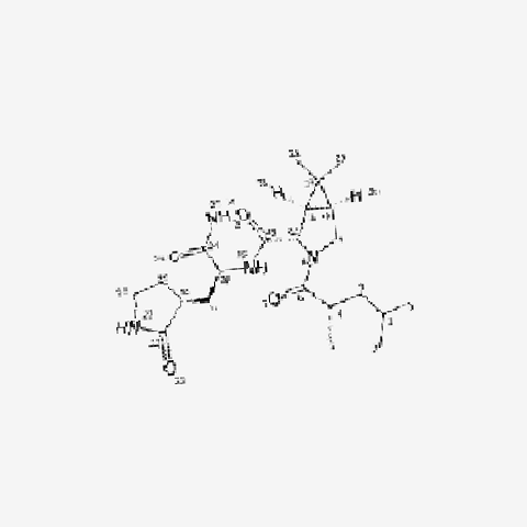 CC(C)C[C@H](C)C(=O)N1C[C@H]2[C@@H]([C@H]1C(=O)N[C@@H](C[C@@H]1CCNC1=O)C(N)=O)C2(C)C